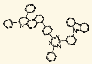 c1ccc(-c2cc(-c3ccccc3)c3c(ccc4c(-c5ccc(-c6nc(-c7ccccc7)nc(-c7cccc(-n8c9ccccc9c9ccccc98)c7)n6)cc5)cccc43)n2)cc1